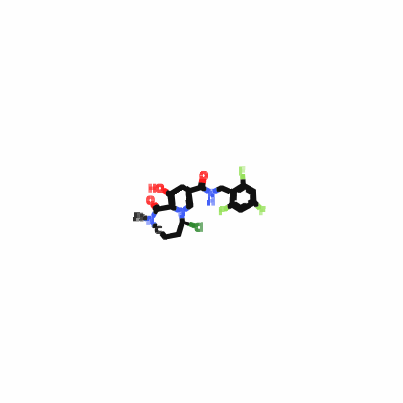 CCN1CCC[C@H](Cl)N2C=C(C(=O)NCc3c(F)cc(F)cc3F)CC(O)=C2C1=O